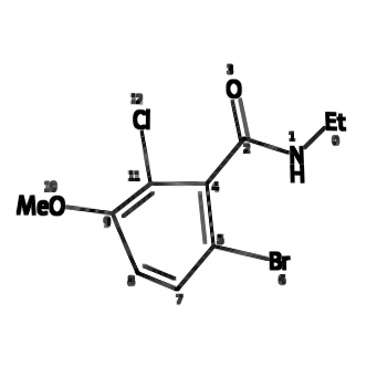 CCNC(=O)c1c(Br)ccc(OC)c1Cl